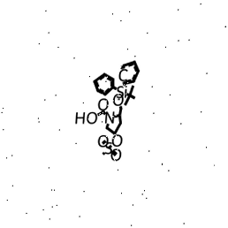 CC(C)(C)[Si](OCC1CC(OS(C)(=O)=O)CN1C(=O)O)(c1ccccc1)c1ccccc1